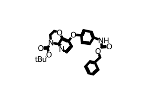 CC(C)(C)OC(=O)N1CCOc2c(Oc3ccc(NC(=O)OCc4ccccc4)cc3)ccnc21